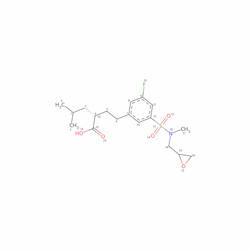 CC(C)C[C@H](CCc1cc(F)cc(S(=O)(=O)N(C)CC2CO2)c1)C(=O)O